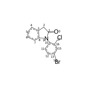 O=C1Cc2ccccc2N1c1ccc(Br)cc1Cl